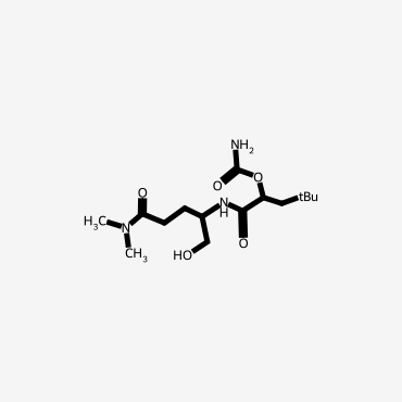 CN(C)C(=O)CCC(CO)NC(=O)C(CC(C)(C)C)OC(N)=O